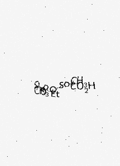 CCC(Cc1cccc2c(-c3ccccc3C)coc12)OCCCSc1ccc(C(C)C(=O)O)cc1